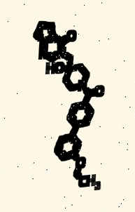 CCOc1cccc(-c2ccc(C(=O)N3CCC(O)(Cn4cnn5cccc5c4=O)CC3)cc2)c1